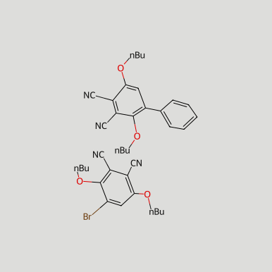 CCCCOc1cc(-c2ccccc2)c(OCCCC)c(C#N)c1C#N.CCCCOc1cc(Br)c(OCCCC)c(C#N)c1C#N